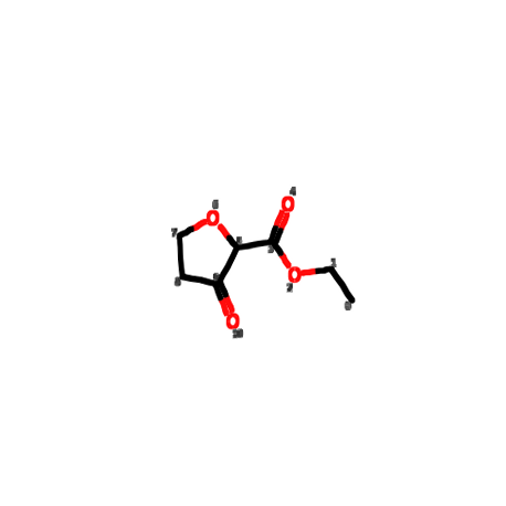 CCOC(=O)C1OCCC1=O